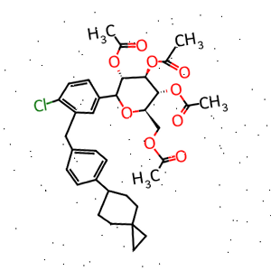 CC(=O)OC[C@H]1OC(c2ccc(Cl)c(Cc3ccc(C4CCC5(CC4)CC5)cc3)c2)[C@H](OC(C)=O)[C@@H](OC(C)=O)[C@@H]1OC(C)=O